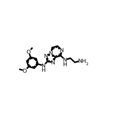 COc1cc(Nc2nc3c(NCCN)nccn3n2)cc(OC)c1